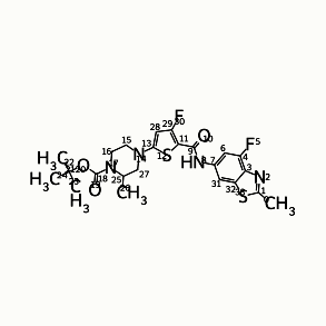 Cc1nc2c(F)cc(NC(=O)c3sc(N4CCN(C(=O)OC(C)(C)C)C(C)C4)cc3F)cc2s1